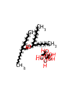 CCCCCCCCCCC(CCCCCCCC)COCC(CCCCCCCC)CCCCCCCCCC.OCC(O)CO.OCC(O)CO